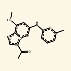 CNc1cc(Nc2cccc(C)n2)nn2c(C(C)=O)cnc12